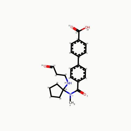 CN(C(=O)c1ccc(-c2ccc(C(=O)O)cc2)cc1)C1(NCCC=O)CCCC1